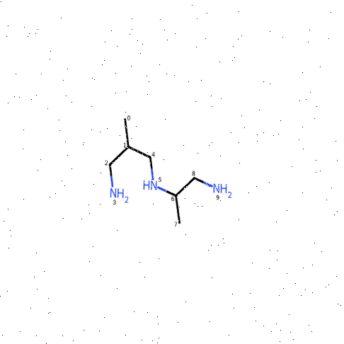 CC(CN)CNC(C)CN